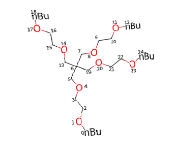 CCCCOCCOCC(COCCOCCCC)(COCCOCCCC)COCCOCCCC